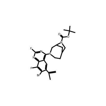 C=C(C)c1cc2c(N3CCC4CC(C3)N(C(=O)OC(C)(C)C)C4)nc(F)nc2c(F)c1Br